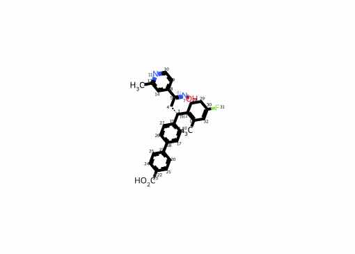 CC1=C([C@@H](C/C(=N\O)c2ccnc(C)c2)c2ccc(-c3ccc(C(=O)O)cc3)cc2)CCC(F)=C1